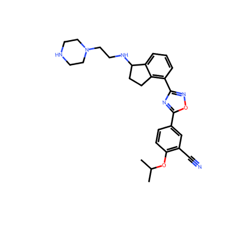 CC(C)Oc1ccc(-c2nc(-c3cccc4c3CCC4NCCN3CCNCC3)no2)cc1C#N